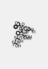 CCO[C@@H]1C[C@@H]2CN(C(=O)[C@@H](NC(=O)[C@H](CO)NC)C3CCCCC3)[C@H](C(=O)N[C@@H]3CCOc4ccccc43)CN2C1.O=C(O)C(F)(F)F.O=C(O)C(F)(F)F